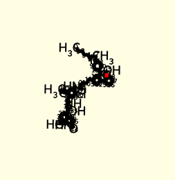 CCCCCCN(C)C1CCC(N(C(=O)O)c2cc(CCCC(=O)Nc3cc(OC)c(CNC[C@H](O)c4ccc(O)c5[nH]c(=O)ccc45)cc3Cl)ccc2-c2ccccc2)CC1